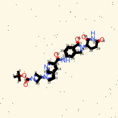 CC(C)(C)OC(=O)N1CC(n2ccc3cc(C(=O)Nc4ccc5c(c4)CN(C4CCC(=O)NC4=O)C5=O)cnc32)C1